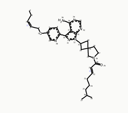 CC/C=C\COc1ccc(-c2nn(C3CC4(CCN(C(=O)/C=C/CCCC(C)C)C4)C3)c3ncnc(N)c23)nc1